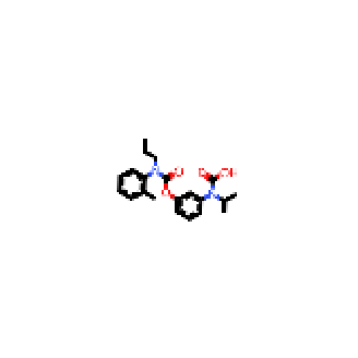 CCCN(C(=O)Oc1cccc(N(C(=O)O)C(C)C)c1)c1ccccc1C